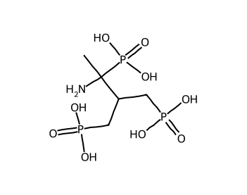 CC(N)(C(CP(=O)(O)O)CP(=O)(O)O)P(=O)(O)O